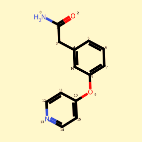 NC(=O)Cc1cccc(Oc2ccncc2)c1